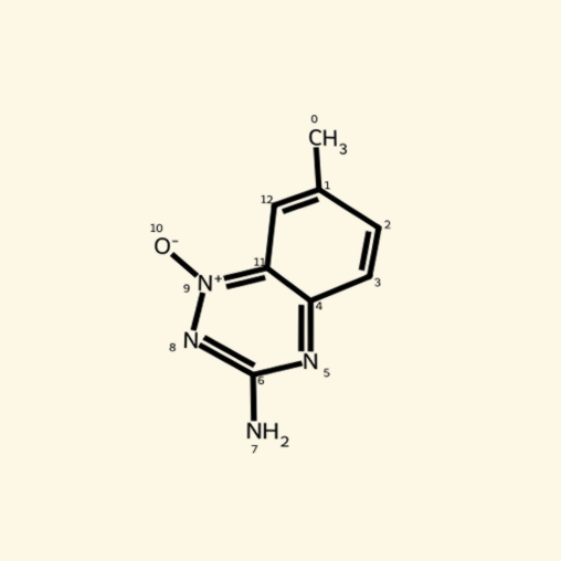 Cc1ccc2nc(N)n[n+]([O-])c2c1